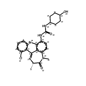 C[C@@H]1N=C(c2ccccc2Cl)c2c(ccc(NC(=O)NC3CCC(O)CC3)c2Br)N(C)C1=O